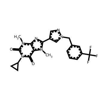 Cn1c(-c2cnn(Cc3cccc(C(F)(F)F)c3)c2)nc2c1c(=O)n(C1CC1)c(=O)n2C